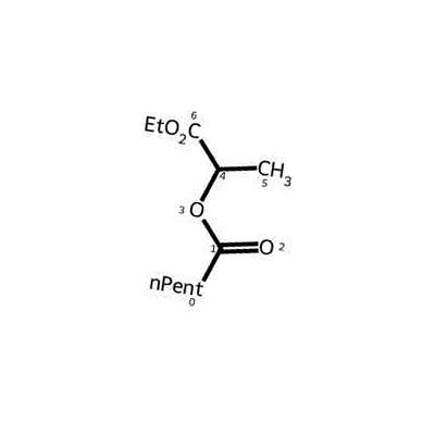 CCCCCC(=O)OC(C)C(=O)OCC